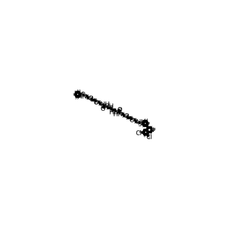 CN1Cc2c(Cl)cc(Cl)cc2C(c2cccc(SNCCOCCOCCNC(=O)NCCCCNC(=O)NCCOCCOCCNSc3ccccc3)c2)C1